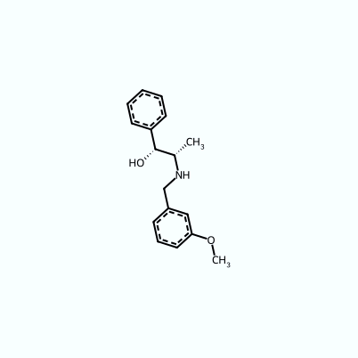 COc1cccc(CN[C@@H](C)[C@H](O)c2ccccc2)c1